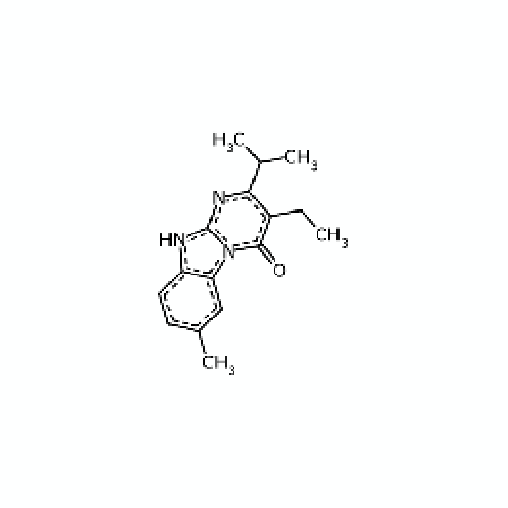 CCc1c(C(C)C)nc2[nH]c3ccc(C)cc3n2c1=O